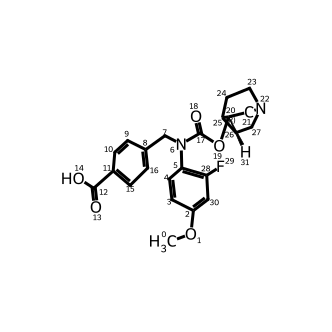 COc1ccc(N(Cc2ccc(C(=O)O)cc2)C(=O)O[C@H]2CN3CCC2CC3)c(F)c1